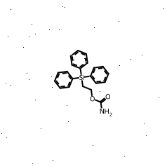 NC(=O)OCC[Si](c1ccccc1)(c1ccccc1)c1ccccc1